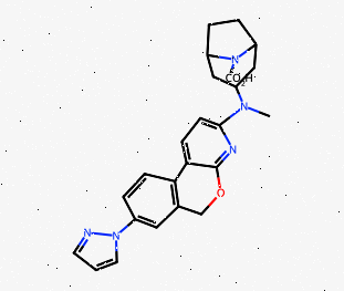 CN(c1ccc2c(n1)OCc1cc(-n3cccn3)ccc1-2)C1CC2CCC(C1)N2C(=O)O